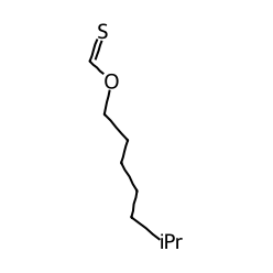 CC(C)CCCCCOC=S